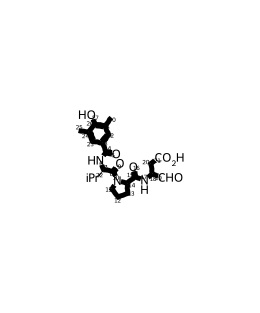 Cc1cc(C(=O)N[C@H](C(=O)N2CCCC2C(=O)NC(C=O)CC(=O)O)C(C)C)cc(C)c1O